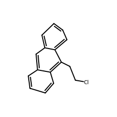 ClCCc1c2ccccc2cc2ccccc12